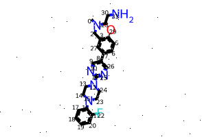 CN(Cc1cccc(-c2cnc(N3CCN(c4ccccc4F)CC3)nc2)c1)C(=O)CN